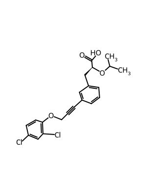 CC(C)O[C@@H](Cc1cccc(C#CCOc2ccc(Cl)cc2Cl)c1)C(=O)O